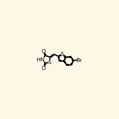 O=C1NC(=O)/C(=C/c2cc3ccc(Br)cc3s2)S1